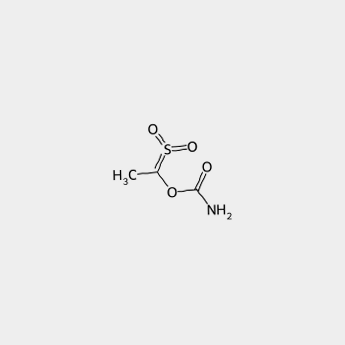 CC(OC(N)=O)=S(=O)=O